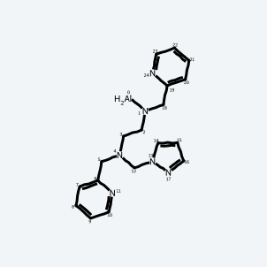 [AlH2][N](CCN(Cc1ccccn1)Cn1cccn1)Cc1ccccn1